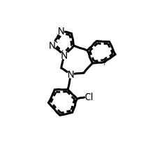 Clc1ccccc1N1Cc2[c]cccc2-c2cnnn2C1